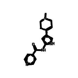 CN1CC=C(c2c[nH]c(NC(=O)c3ccncc3)c2)CC1